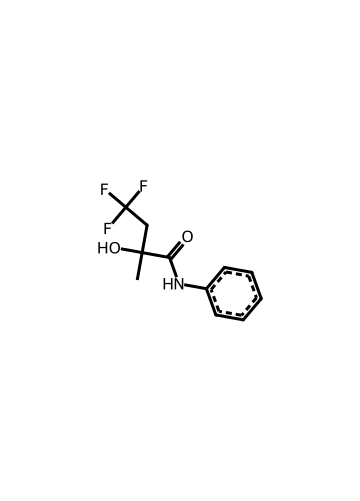 CC(O)(CC(F)(F)F)C(=O)Nc1ccccc1